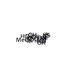 CO[C@@H]1[C@@H](O)[C@@H](O)[C@H](Oc2ccc3c(O)c(/C(C)=N\OCc4nccs4)c(=O)oc3c2C)OC1(C)C